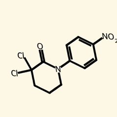 O=C1N(c2ccc([N+](=O)[O-])cc2)CCCC1(Cl)Cl